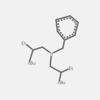 CCCCC(CC)CN(Cc1ccccc1)CC(CC)CCCC